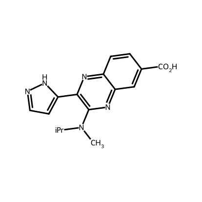 CC(C)N(C)c1nc2cc(C(=O)O)ccc2nc1-c1ccn[nH]1